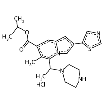 Cc1c(C(=O)OC(C)C)cc2cc(-c3cncs3)cn2c1C(C)N1CCNCC1.Cl